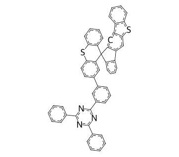 c1ccc(-c2nc(-c3ccccc3)nc(-c3cccc(-c4ccc5c(c4)C4(c6ccccc6S5)c5ccccc5-c5cc6sc7ccccc7c6cc54)c3)n2)cc1